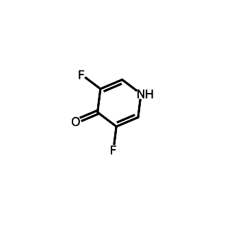 O=c1c(F)c[nH]cc1F